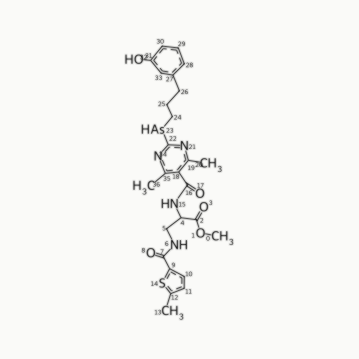 COC(=O)C(CNC(=O)c1ccc(C)s1)NC(=O)c1c(C)nc([AsH]CCCc2cccc(O)c2)nc1C